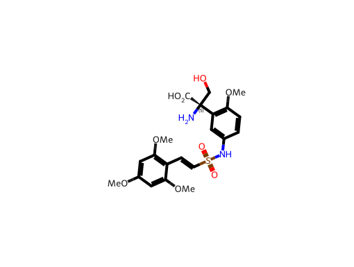 COc1cc(OC)c(C=CS(=O)(=O)Nc2ccc(OC)c([C@](N)(CO)C(=O)O)c2)c(OC)c1